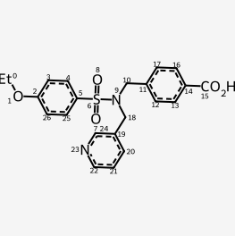 CCOc1ccc(S(=O)(=O)N(Cc2ccc(C(=O)O)cc2)Cc2cccnc2)cc1